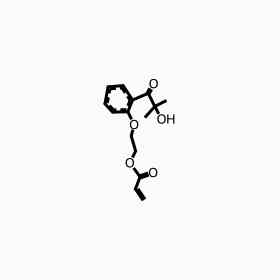 C=CC(=O)OCCOc1ccccc1C(=O)C(C)(C)O